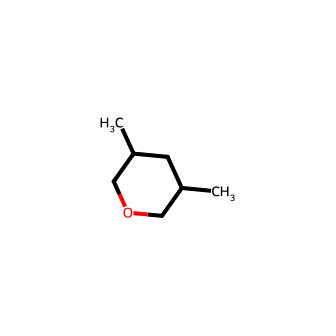 CC1COCC(C)C1